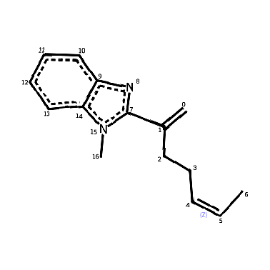 C=C(CC/C=C\C)c1nc2ccccc2n1C